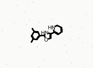 Cc1cc(C)cc(C2NC(C3=CC=CCN3)=CO2)c1